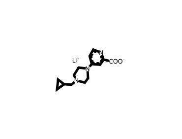 O=C([O-])c1cc(N2CCN(CC3CC3)CC2)ccn1.[Li+]